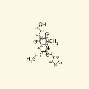 CCCC1Cc2c(n(C)c(=O)n(CCCO)c2=O)N=C1OCC1CCCC1